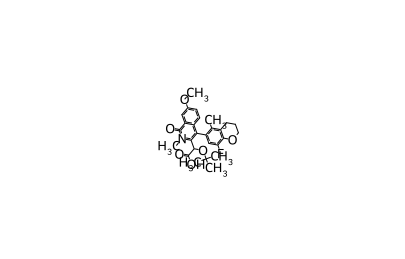 COc1ccc2c(-c3cc(F)c4c(c3C)CCCO4)c(C(OC(C)(C)C)C(=O)O)n(C)c(=O)c2c1